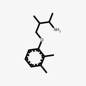 Cc1cccc(OCC(C)C(C)N)c1C